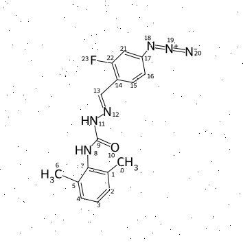 Cc1cccc(C)c1NC(=O)N/N=C/c1ccc(N=[N+]=[N-])cc1F